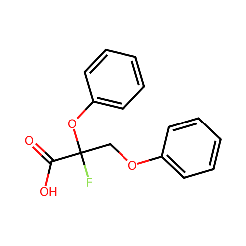 O=C(O)C(F)(COc1ccccc1)Oc1ccccc1